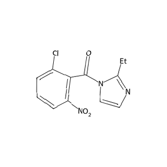 CCc1nccn1C(=O)c1c(Cl)cccc1[N+](=O)[O-]